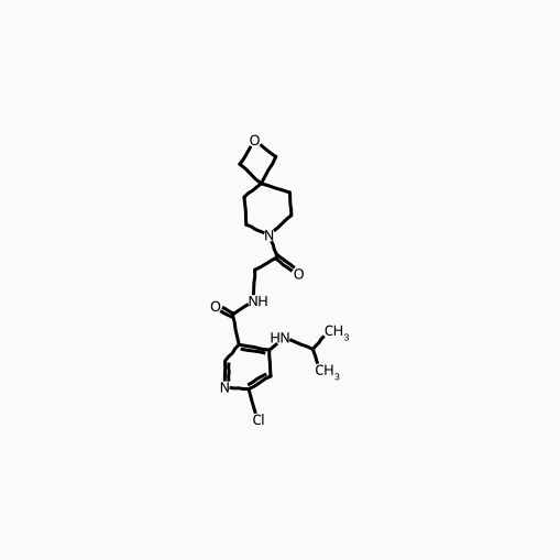 CC(C)Nc1cc(Cl)ncc1C(=O)NCC(=O)N1CCC2(CC1)COC2